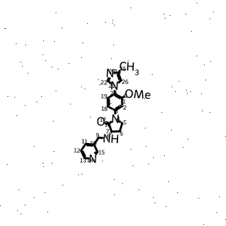 COc1cc(N2CCC(NCc3cccnc3)C2=O)ccc1-n1cnc(C)c1